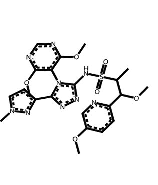 COc1ccc(C(OC)C(C)S(=O)(=O)Nc2nnc(-c3ccn(C)n3)n2-c2c(OC)ncnc2OC)nc1